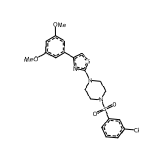 COc1cc(OC)cc(-c2csc(N3CCN(S(=O)(=O)c4cccc(Cl)c4)CC3)n2)c1